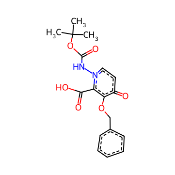 CC(C)(C)OC(=O)Nn1ccc(=O)c(OCc2ccccc2)c1C(=O)O